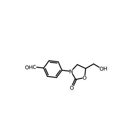 O=Cc1ccc(N2CC(CO)OC2=O)cc1